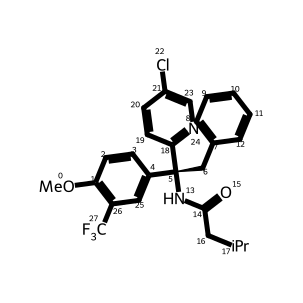 COc1ccc([C@@](Cc2ccccc2)(NC(=O)CC(C)C)c2ccc(Cl)cn2)cc1C(F)(F)F